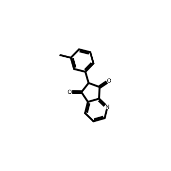 Cc1cccc(C2C(=O)c3cccnc3C2=O)c1